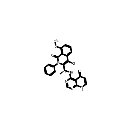 C[C@H](Nc1ncnc2[nH]ccc(=O)c12)c1c(Cl)c2cccc(SC(C)(C)C)c2c(=O)n1-c1ccccc1